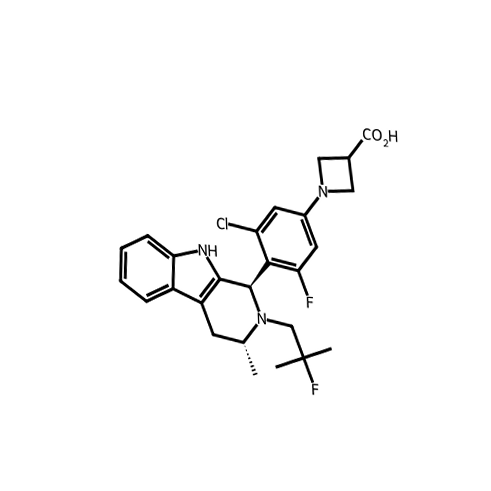 C[C@@H]1Cc2c([nH]c3ccccc23)[C@@H](c2c(F)cc(N3CC(C(=O)O)C3)cc2Cl)N1CC(C)(C)F